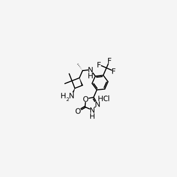 C[C@H](Nc1cc(-c2n[nH]c(=O)o2)ccc1C(F)(F)F)[C@H]1C[C@@H](N)C1(C)C.Cl